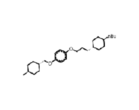 CCCC[C@H]1CC[C@H](CCCOc2ccc(OC[C@H]3CC[C@H](C)CC3)cc2)CC1